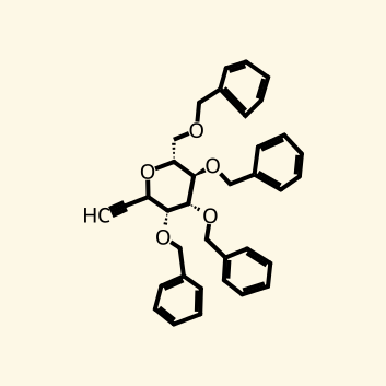 C#CC1O[C@H](COCc2ccccc2)[C@@H](OCc2ccccc2)[C@H](OCc2ccccc2)[C@@H]1OCc1ccccc1